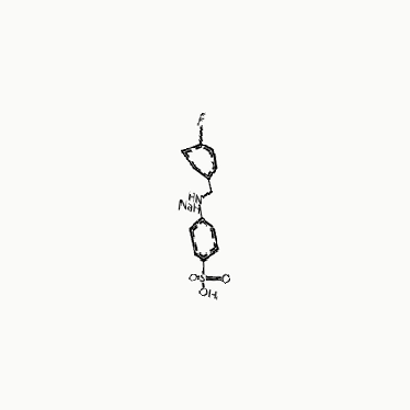 O=S(=O)(O)c1ccc(NCc2ccc(F)cc2)cc1.[NaH]